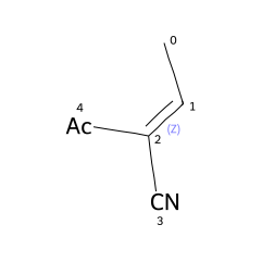 C/C=C(/C#N)C(C)=O